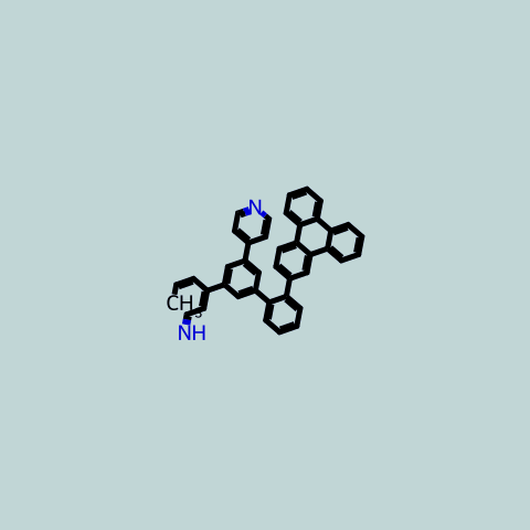 C/C=C\C(=C/C=N)c1cc(-c2ccncc2)cc(-c2ccccc2-c2ccc3c4ccccc4c4ccccc4c3c2)c1